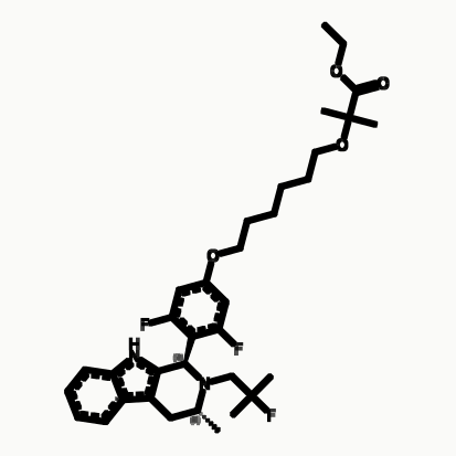 CCOC(=O)C(C)(C)OCCCCCCOc1cc(F)c([C@@H]2c3[nH]c4ccccc4c3C[C@@H](C)N2CC(C)(C)F)c(F)c1